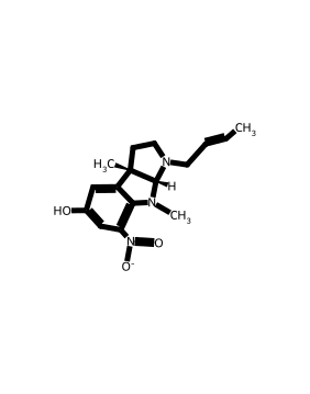 CC=CCN1CC[C@@]2(C)c3cc(O)cc([N+](=O)[O-])c3N(C)[C@@H]12